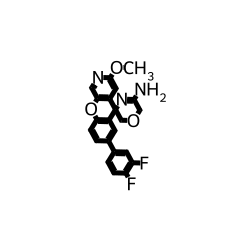 COc1cc2c(cn1)Oc1ccc(-c3ccc(F)c(F)c3)cc1C21COCC(N)=N1